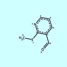 CSc1ncccc1C=O